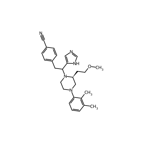 COCC[C@H]1CN(c2cccc(C)c2C)CCN1C(Cc1ccc(C#N)cc1)c1cnc[nH]1